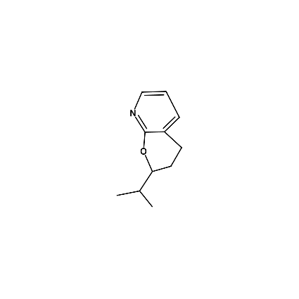 CC(C)C1CCc2cccnc2O1